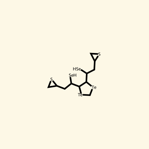 [SeH]C(CC1CS1)C1[Te]C[Te]C1C([SeH])CC1CS1